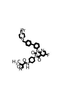 Cc1oncc1C(=O)NC1CCC(n2c(=O)c3cc(F)cnc3n(-c3cccc(-c4ccc(CN5CCN(C(C)C)CC5)cc4)c3)c2=O)CC1